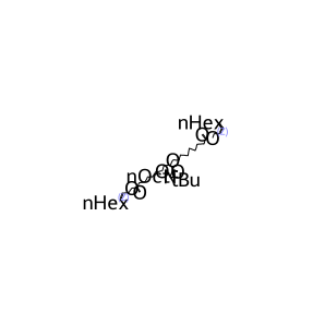 CCCCCC/C=C\COC(=O)CCCCCCCOC(COCCCCCC(=O)OC/C=C\CCCCCC)C(=O)N(CCCCCCCC)C(C)(C)C